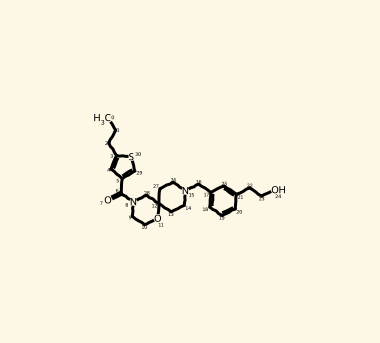 CCCc1cc(C(=O)N2CCOC3(CCN(Cc4cccc(CCO)c4)CC3)C2)cs1